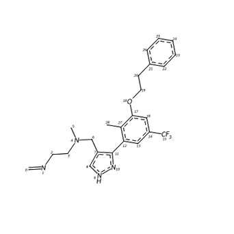 C=NCCN(C)Cc1c[nH]nc1-c1cc(C(F)(F)F)cc(OCCc2ccccc2)c1C